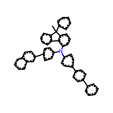 CC1(c2ccccc2)c2ccccc2-c2c(N(c3ccc(-c4ccc(-c5ccccc5)cc4)cc3)c3ccc(-c4ccc5ccccc5c4)cc3)cccc21